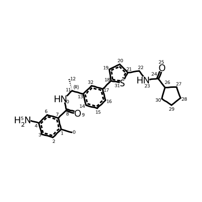 Cc1ccc(N)cc1C(=O)N[C@H](C)c1cccc(-c2ccc(CNC(=O)C3CCCC3)s2)c1